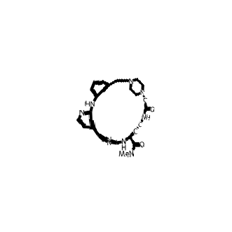 CNC(=O)C1CCNC(=O)CN2CCN(CC2)Cc2cccc(c2)Nc2cc(ccn2)-c2cnc(nc2)N1